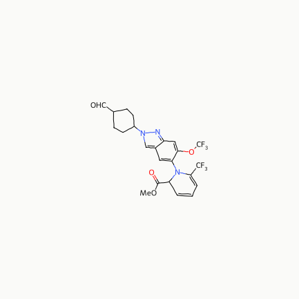 COC(=O)C1C=CC=C(C(F)(F)F)N1c1cc2cn(C3CCC(C=O)CC3)nc2cc1OC(F)(F)F